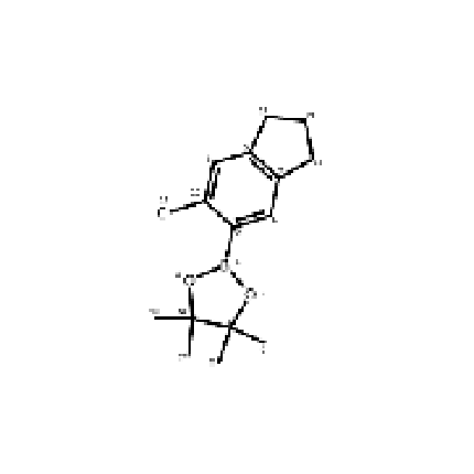 CC1(C)OB(c2cc3c(cc2Cl)CCC3)OC1(C)C